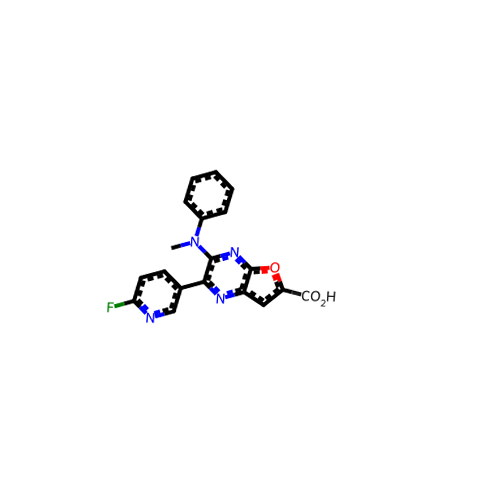 CN(c1ccccc1)c1nc2oc(C(=O)O)cc2nc1-c1ccc(F)nc1